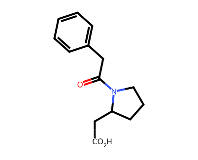 O=C(O)CC1CCCN1C(=O)Cc1ccccc1